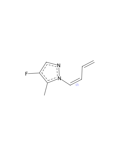 C=C/C=C\n1ncc(F)c1C